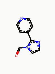 O=Cn1ccnc1-c1ccncc1